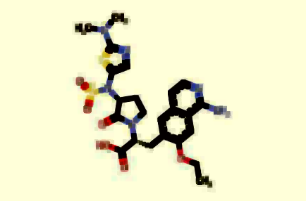 CCOc1cc2c(N)nccc2cc1C[C@H](C(=O)O)N1CC[C@H](N(c2cnc(N(C)C)s2)[SH](=O)=O)C1=O